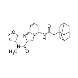 CN(C(=O)c1cn2c(NC(=O)CC34CC5CC(CC(C5)C3)C4)cccc2n1)C1CCOC1